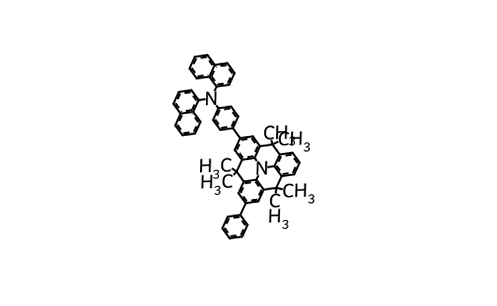 CC1(C)c2cccc3c2N2c4c1cc(-c1ccccc1)cc4C(C)(C)c1cc(-c4ccc(N(c5cccc6ccccc56)c5cccc6ccccc56)cc4)cc(c12)C3(C)C